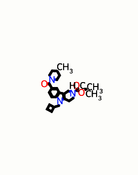 CC1CCN(C(=O)c2ccc3c(c2)c2c(n3CC3CCC3)CCN(C(=O)OC(C)(C)C)C2)CC1